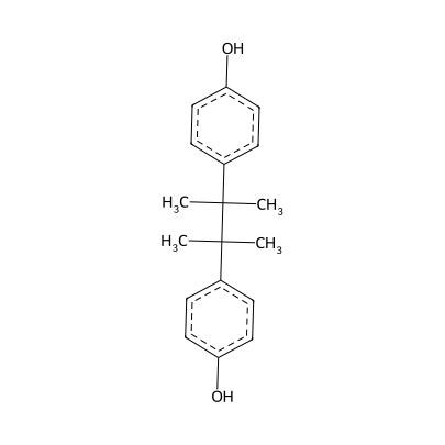 CC(C)(c1ccc(O)cc1)C(C)(C)c1ccc(O)cc1